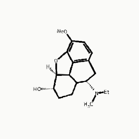 CCN(C)[C@H]1Cc2ccc(OC)c3c2C2C1CC[C@H](O)[C@H]2O3